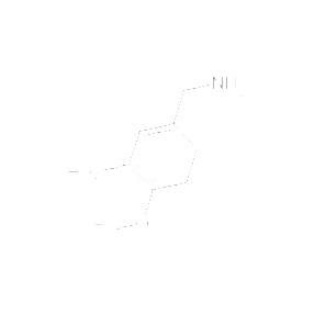 CCOC1=C(C)C=C(CN)CC1